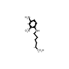 Nc1ccc(NCCCCCC(=O)O)c([N+](=O)[O-])c1